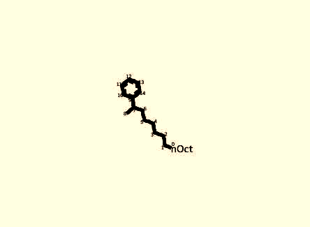 CCCCCCCCCCCCCCC(C)c1ccccc1